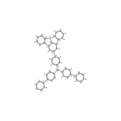 c1ccc(-c2ccc(N(c3ccc(-c4ccccc4)cc3)c3ccc(-c4cc5c6c(c4)-c4ccccc4C6c4ccccc4-5)cc3)cc2)cc1